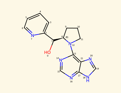 OC(c1ccccn1)[C@H]1CCCN1c1ncnc2[nH]cnc12